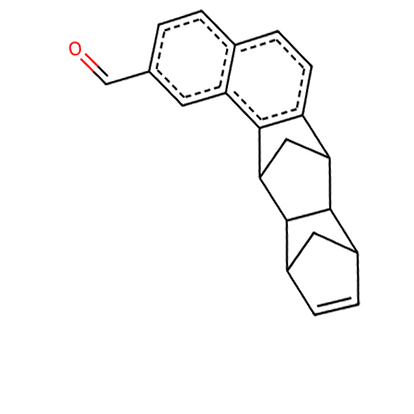 O=Cc1ccc2ccc3c(c2c1)C1CC3C2C3C=CC(C3)C12